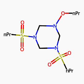 CCCON1CN(S(=O)(=O)CCC)CN(S(=O)(=O)CCC)C1